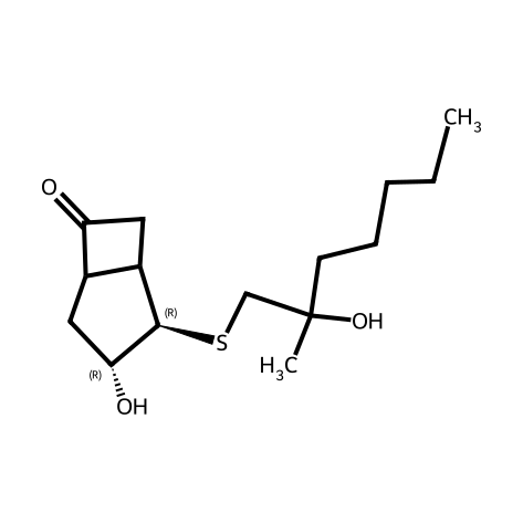 CCCCCC(C)(O)CS[C@@H]1C2CC(=O)C2C[C@H]1O